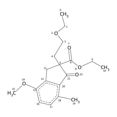 CCOCCC1(C(=O)OCC)Cc2c(OC)ccc(C)c2C1=O